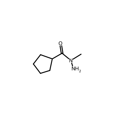 CN(N)C(=O)C1CCCC1